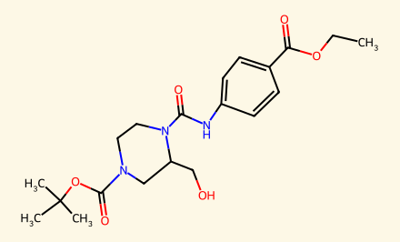 CCOC(=O)c1ccc(NC(=O)N2CCN(C(=O)OC(C)(C)C)CC2CO)cc1